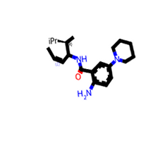 C/C=C\C(NC(=O)c1cc(N2CCCCC2)ccc1N)[C@H](C)C(C)C